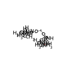 COC(=O)N[C@H](C(=O)N1[C@@H]2C[C@H]2C[C@H]1c1nc(-c2ccc([C@@H]3C[C@H]3c3ccc(-c4c[nH]c([C@@H]5C[C@H]6C[C@H]6N5C(=O)[C@H](C(C)C)N(C)C(=O)O)n4)cc3)cc2)c[nH]1)C(C)C